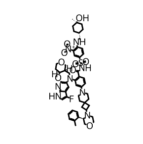 Cc1ccccc1[C@@H]1COCCN1C1CC2(CCN(c3ccc(C(=O)NS(=O)(=O)c4ccc(NC[C@H]5CC[C@](C)(O)CC5)c([N+](=O)[O-])c4)c(N4C[C@H]5COCC[C@@H]5Oc5nc6[nH]cc(F)c6cc54)c3)CC2)C1